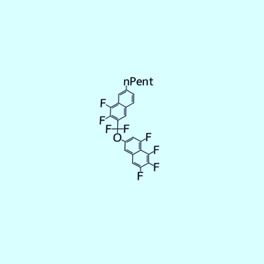 CCCCCc1ccc2cc(C(F)(F)Oc3cc(F)c4c(F)c(F)c(F)cc4c3)c(F)c(F)c2c1